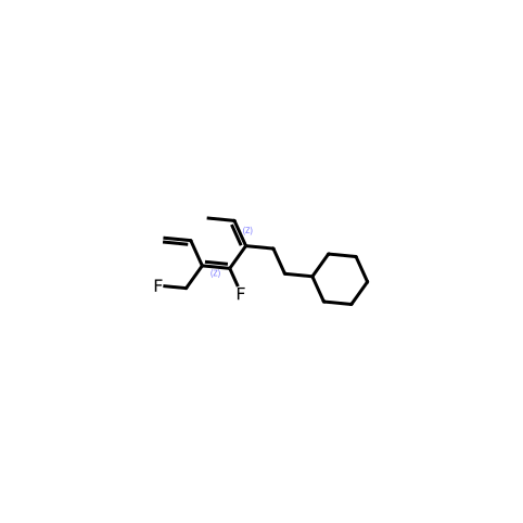 C=C/C(CF)=C(F)\C(=C/C)CCC1CCCCC1